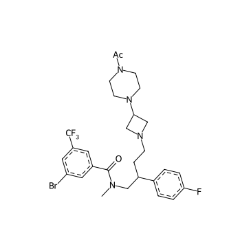 CC(=O)N1CCN(C2CN(CCC(CN(C)C(=O)c3cc(Br)cc(C(F)(F)F)c3)c3ccc(F)cc3)C2)CC1